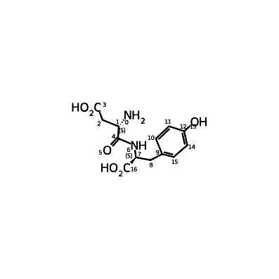 N[C@@H](CC(=O)O)C(=O)N[C@@H](Cc1ccc(O)cc1)C(=O)O